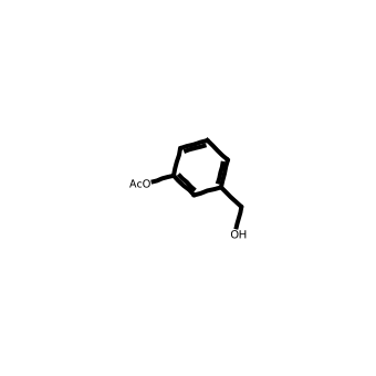 CC(=O)Oc1c[c]cc(CO)c1